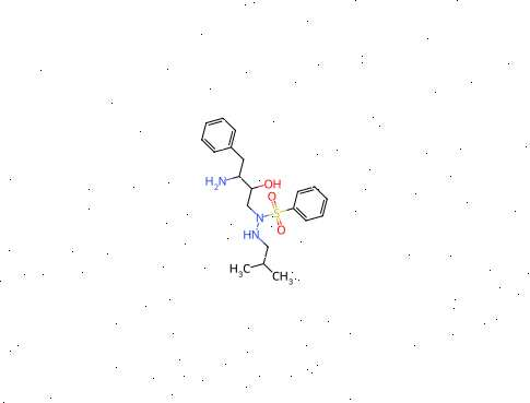 CC(C)CNN(CC(O)C(N)Cc1ccccc1)S(=O)(=O)c1ccccc1